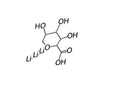 O=C(O)C1OCC(O)C(O)C1O.[Li].[Li].[Li]